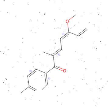 C=C/C(=C\C=C(/C)C(=O)C(/C=C\C(=C)C)=C/C)OC